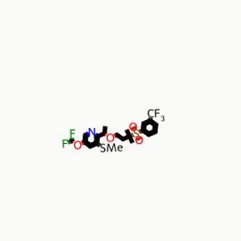 CSc1cc(OC(F)F)cnc1C(C)OCCC(C)(C)S(=O)(=O)c1cccc(C(F)(F)F)c1